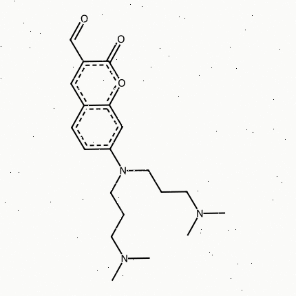 CN(C)CCCN(CCCN(C)C)c1ccc2cc(C=O)c(=O)oc2c1